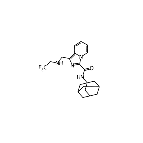 O=C(NC12CC3CC(CC(C3)C1)C2)c1nc(CNCC(F)(F)F)c2ccccn12